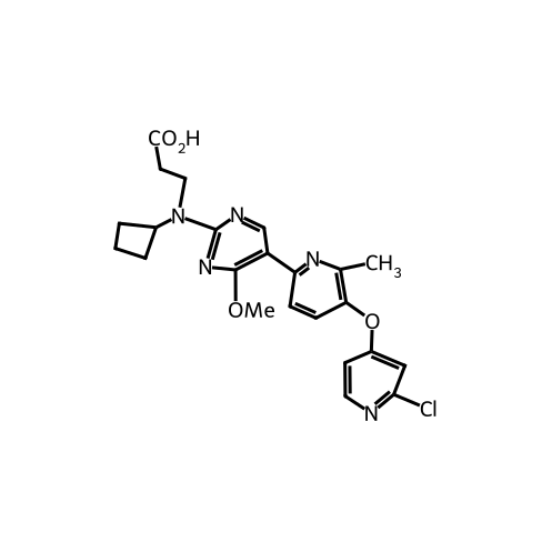 COc1nc(N(CCC(=O)O)C2CCC2)ncc1-c1ccc(Oc2ccnc(Cl)c2)c(C)n1